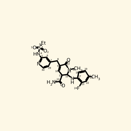 CCS(=O)(=O)Nc1cc(CC2=CC(C(N)=O)C(Nc3ccc(C)cc3F)N(C)C2=O)ccn1